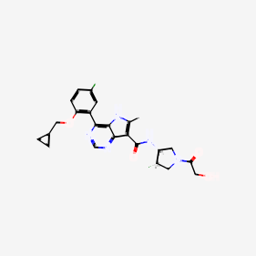 Cc1[nH]c2c(-c3cc(F)ccc3OCC3CC3)ncnc2c1C(=O)N[C@H]1CN(C(=O)CO)C[C@H]1F